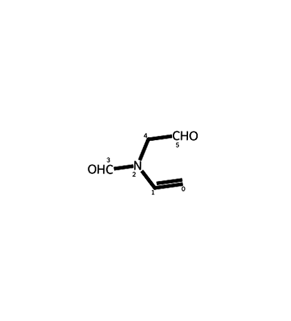 C=CN(C=O)CC=O